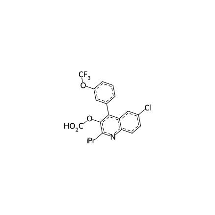 CC(C)c1nc2ccc(Cl)cc2c(-c2cccc(OC(F)(F)F)c2)c1OC(=O)O